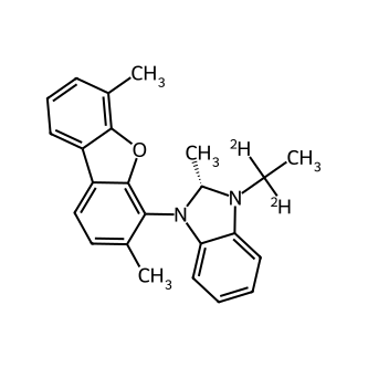 [2H]C([2H])(C)N1c2ccccc2N(c2c(C)ccc3c2oc2c(C)cccc23)[C@@H]1C